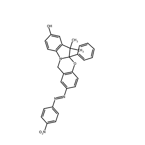 CC1(C)c2cc(O)ccc2N2Cc3cc(N=Nc4ccc([N+](=O)[O-])cc4)ccc3OC21c1ccccc1